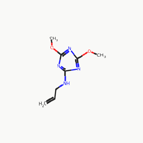 C=CCNc1nc(OC)nc(OC)n1